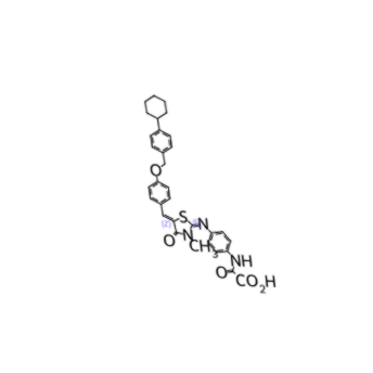 CN1C(=O)/C(=C/c2ccc(OCc3ccc(C4CCCCC4)cc3)cc2)S/C1=N/c1ccc(NC(=O)C(=O)O)cc1